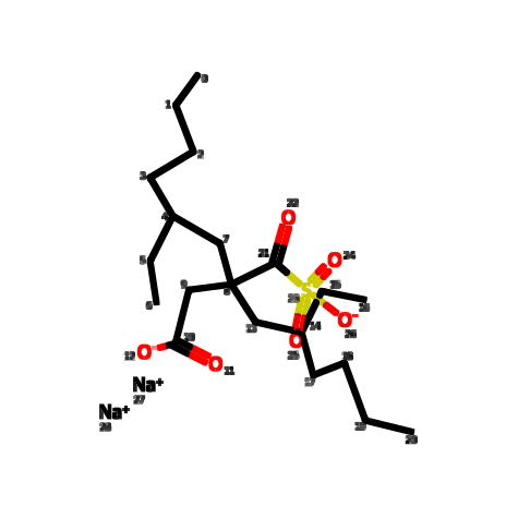 CCCCC(CC)CC(CC(=O)[O-])(CC(CC)CCCC)C(=O)S(=O)(=O)[O-].[Na+].[Na+]